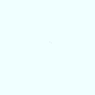 Cc1ccc(C2CCC(c3ccc(C)cc3)P2Cc2ccccc2)cc1